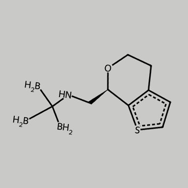 BC(B)(B)NC[C@H]1OCCc2ccsc21